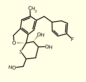 Cc1cc2c(cc1CC1C=CC(F)=CC1)[C@]1(OC2)SC(CO)CC(O)[C@H]1O